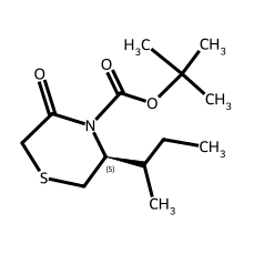 CCC(C)[C@H]1CSCC(=O)N1C(=O)OC(C)(C)C